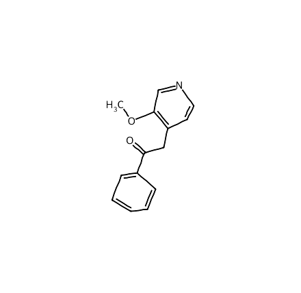 COc1cnccc1CC(=O)c1ccccc1